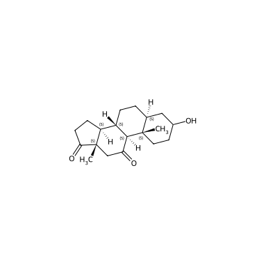 C[C@]12CCC(O)C[C@@H]1CC[C@@H]1[C@@H]2C(=O)C[C@]2(C)C(=O)CC[C@@H]12